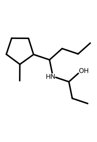 CCCC(NC(O)CC)C1CCCC1C